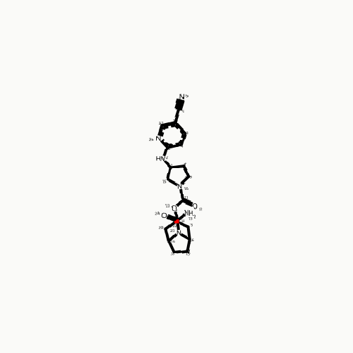 N#Cc1ccc(NC2CCN(C(=O)OC3CC4CCC(C3)N4C(N)=O)C2)nc1